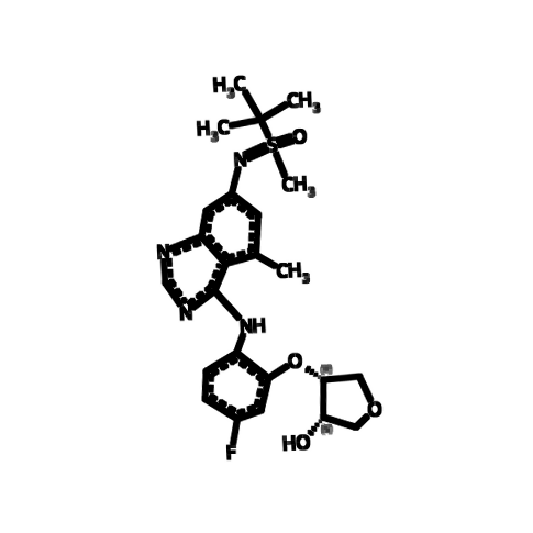 Cc1cc(N=S(C)(=O)C(C)(C)C)cc2ncnc(Nc3ccc(F)cc3O[C@@H]3COC[C@@H]3O)c12